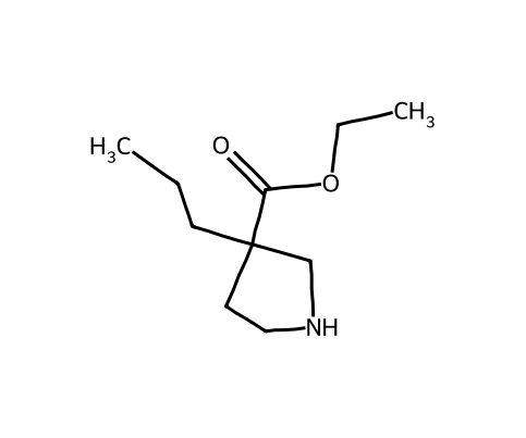 CCCC1(C(=O)OCC)CCNC1